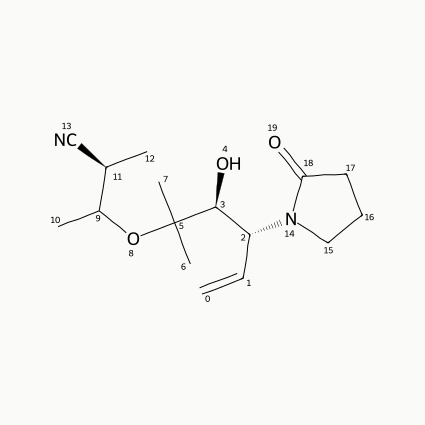 C=C[C@H]([C@H](O)C(C)(C)OC(C)[C@H](C)C#N)N1CCCC1=O